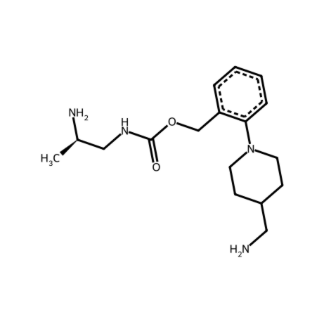 C[C@@H](N)CNC(=O)OCc1ccccc1N1CCC(CN)CC1